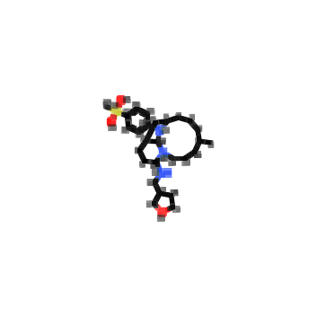 CC1CCCC2CC3CCC(NCC4CCOC4)N(CCC1)C3N2c1ccc(S(C)(=O)=O)cc1